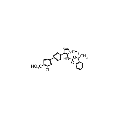 CC(OC(=O)Nc1c(-c2ccc(-c3ccc(C(=O)O)c(Cl)c3)cc2)ncn1C)c1ccccc1